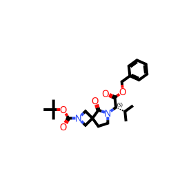 CC(C)[C@@H](C(=O)OCc1ccccc1)N1CCC2(CN(C(=O)OC(C)(C)C)C2)C1=O